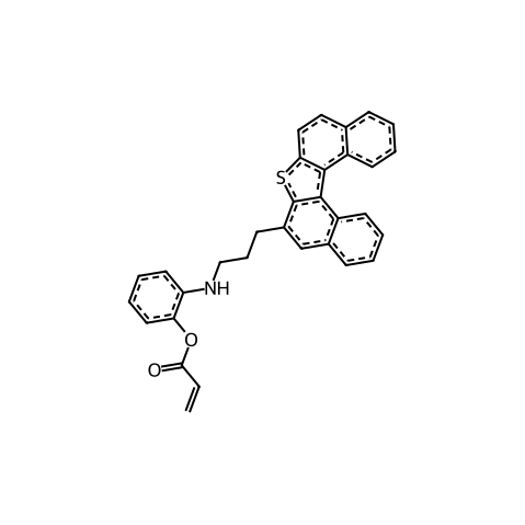 C=CC(=O)Oc1ccccc1NCCCc1cc2ccccc2c2c1sc1ccc3ccccc3c12